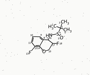 CC(C)(C)[S+]([O-])NC1c2cccc(F)c2OCC1F